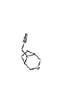 N#CCN1C2CCC1COC2